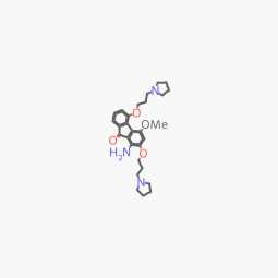 COc1cc(OCCCN2CCCC2)c(N)c2c1-c1c(OCCCN3CCCC3)cccc1C2=O